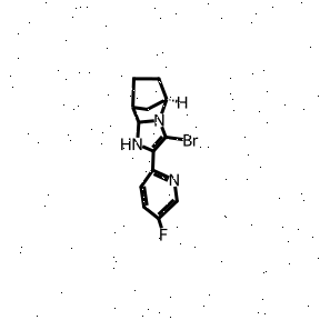 Fc1ccc(C2=C(Br)N3C(N2)C2CC[C@@H]3C2)nc1